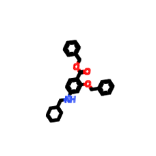 O=C(OCc1ccccc1)c1ccc(NCC2CCCCC2)cc1OCc1ccccc1